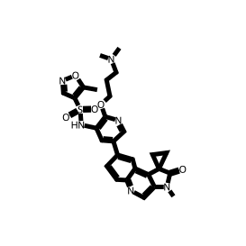 Cc1oncc1S(=O)(=O)Nc1cc(-c2ccc3ncc4c(c3c2)C2(CC2)C(=O)N4C)cnc1OCCCN(C)C